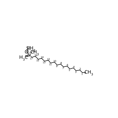 CCCCCCCCCCCCCCCCCC[Si](C)(C)O[SiH3]